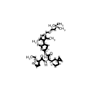 CCn1nccc1C(=O)N[C@H](C(=O)Nc1ccc(-c2c(C)nn(COCCS(C)(C)C)c2C)c(F)n1)[C@H]1CCCC2(CC2)C1